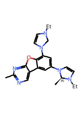 CCN1C=CN(c2cc(N3C=CN(CC)[C@H]3C)cc3c2oc2nc(C)ncc23)C1